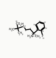 CC(C)(SCC[C@](C)(N)c1ccccc1F)C(=O)O